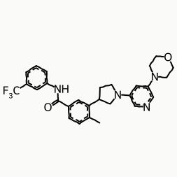 Cc1ccc(C(=O)Nc2cccc(C(F)(F)F)c2)cc1C1CCN(c2cncc(N3CCOCC3)c2)C1